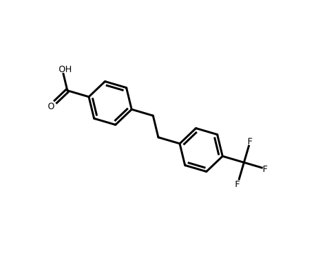 O=C(O)c1ccc(CCc2ccc(C(F)(F)F)cc2)cc1